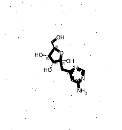 Nc1cc(C[C@]2(O)O[C@H](CO)[C@@H](O)[C@H]2O)ncn1